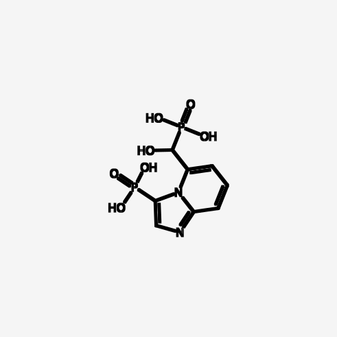 O=P(O)(O)c1cnc2cccc(C(O)P(=O)(O)O)n12